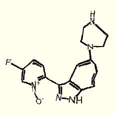 [O-][n+]1cc(F)ccc1-c1n[nH]c2ccc(N3CCNCC3)cc12